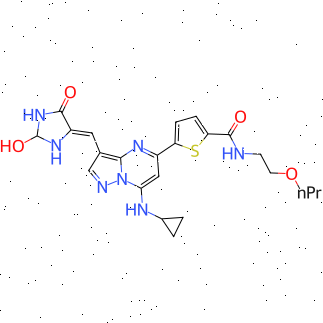 CCCOCCNC(=O)c1ccc(-c2cc(NC3CC3)n3ncc(/C=C4\NC(O)NC4=O)c3n2)s1